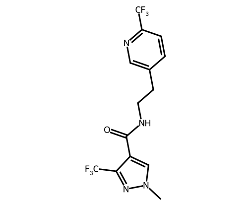 Cn1cc(C(=O)NCCc2ccc(C(F)(F)F)nc2)c(C(F)(F)F)n1